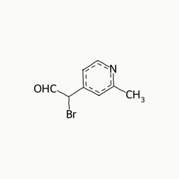 Cc1cc(C(Br)C=O)ccn1